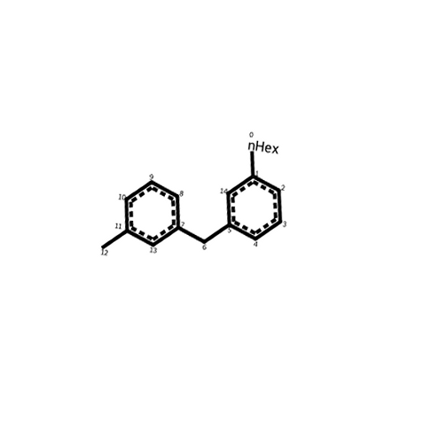 CCCCCCc1cccc(Cc2cccc(C)c2)c1